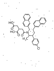 CC(C(CCc1ccc2ccccc2c1)c1ccc(Cl)cc1)N(Cc1ccc2ccccc2c1)C(=O)CC(CC(=O)O)C(=O)O